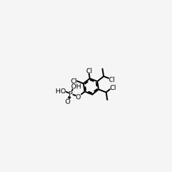 CC(Cl)c1cc(OP(=O)(O)O)c(Cl)c(Cl)c1C(C)Cl